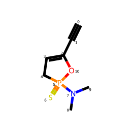 C#CC1=CCP(=S)(N(C)C)O1